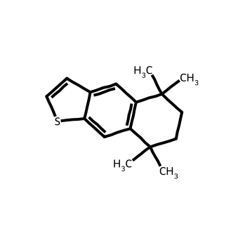 CC1(C)CCC(C)(C)c2cc3sccc3cc21